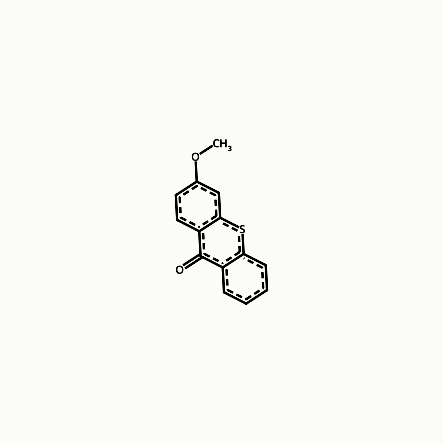 COc1ccc2c(=O)c3ccccc3sc2c1